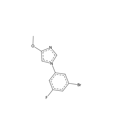 COc1cn(-c2cc(F)cc(Br)c2)cn1